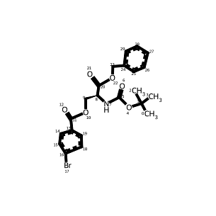 CC(C)(C)OC(=O)N[C@@H](COC(=O)c1ccc(Br)cc1)C(=O)OCc1ccccc1